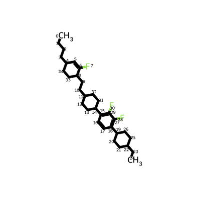 CCCCC1C=C(F)C(CCC2CCC(c3ccc(C4CCC(CC)CC4)c(F)c3F)CC2)CC1